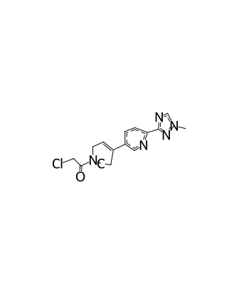 Cn1cnc(-c2ccc(C3=CCN(C(=O)CCl)CC3)cn2)n1